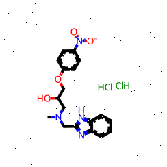 CN(Cc1nc2ccccc2[nH]1)CC(O)COc1ccc([N+](=O)[O-])cc1.Cl.Cl